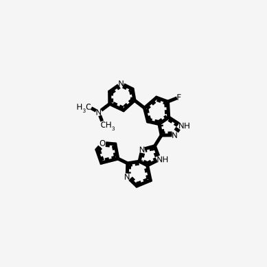 CN(C)c1cncc(-c2cc(F)c3[nH]nc(-c4nc5c(-c6ccoc6)nccc5[nH]4)c3c2)c1